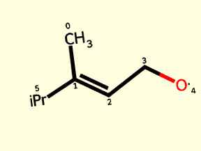 C/C(=C\C[O])C(C)C